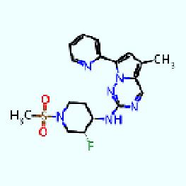 Cc1cc(-c2ccccn2)n2nc(N[C@@H]3CCN(S(C)(=O)=O)C[C@H]3F)ncc12